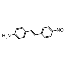 Nc1ccc(C=Cc2ccc(N=O)cc2)cc1